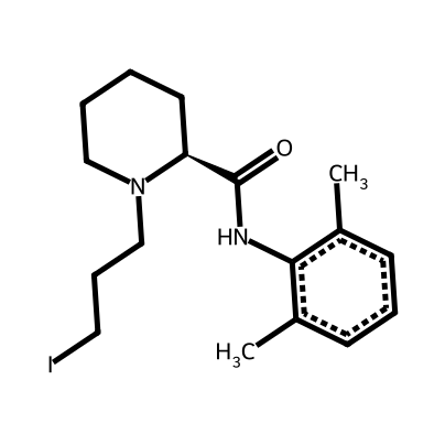 Cc1cccc(C)c1NC(=O)[C@@H]1CCCCN1CCCI